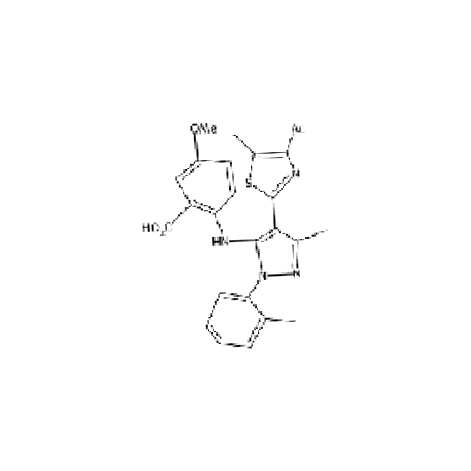 COc1ccc(Nc2c(-c3nc(C(C)=O)c(C)s3)c(C)nn2-c2ccccc2C)c(C(=O)O)c1